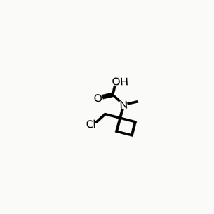 CN(C(=O)O)C1(CCl)CCC1